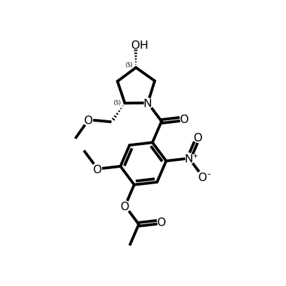 COC[C@@H]1C[C@H](O)CN1C(=O)c1cc(OC)c(OC(C)=O)cc1[N+](=O)[O-]